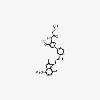 CCOc1cc(-c2cc(NCCn3c(C)cc4c(OC)ccc(F)c43)ncn2)sc1NC(=O)CCO